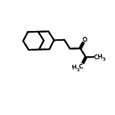 C=C(C)C(=O)CCC1CC2CCCC(C2)C1